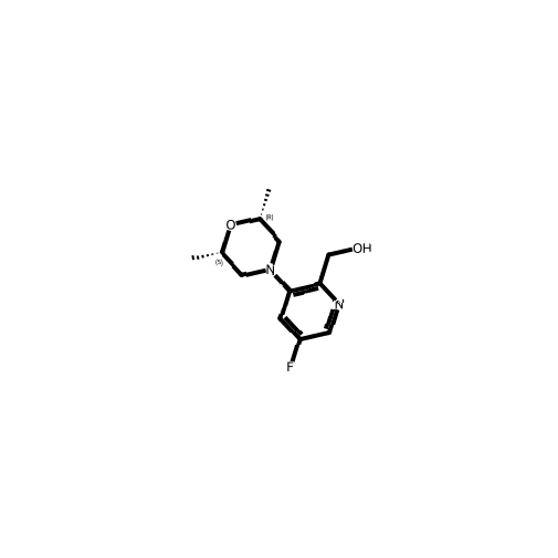 C[C@@H]1CN(c2cc(F)cnc2CO)C[C@H](C)O1